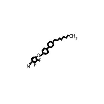 CCCCCCCCC1CCC(c2ccc(COc3ccc(C#N)c(F)c3F)cc2)CC1